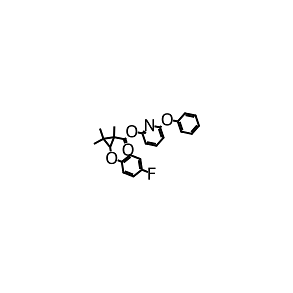 CC1(C)C(Oc2ccc(F)cc2)C1(C)C(=O)Oc1cccc(Oc2ccccc2)n1